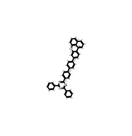 c1ccc(-c2nc(-c3ccccc3)nc(-c3ccc(-c4ccc(-c5ccc6c(c5)Oc5cccc7cccc-6c57)cc4)cc3)n2)cc1